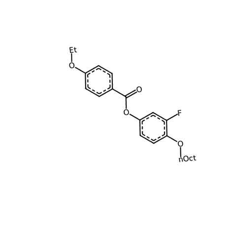 CCCCCCCCOc1ccc(OC(=O)c2ccc(OCC)cc2)cc1F